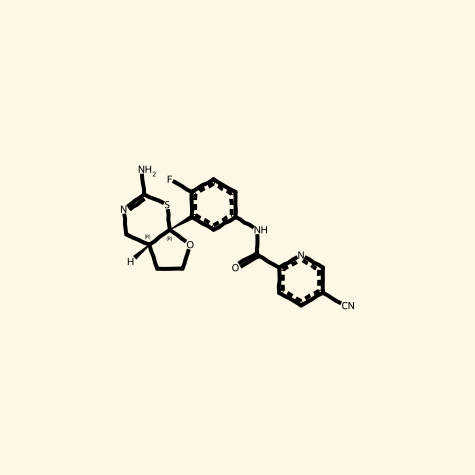 N#Cc1ccc(C(=O)Nc2ccc(F)c([C@@]34OCC[C@@H]3CN=C(N)S4)c2)nc1